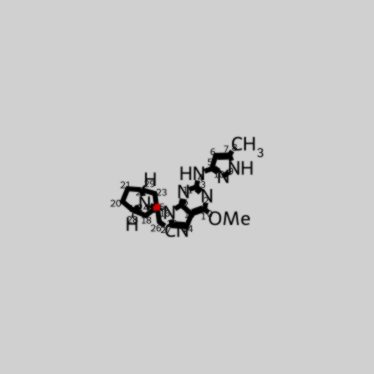 COc1nc(Nc2cc(C)[nH]n2)nc2c1ccn2[C@@H]1C[C@H]2CC[C@@H](C1)N2CCC#N